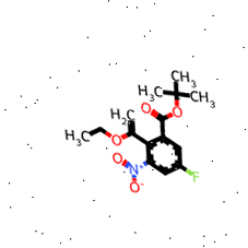 C=C(OCC)c1c(C(=O)OC(C)(C)C)cc(F)cc1[N+](=O)[O-]